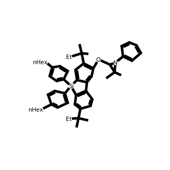 CCCCCCc1ccc([Si]2(c3ccc(CCCCCC)cc3)c3cc(C(C)(C)CC)ccc3-c3cc(OC4N(c5ccccc5)C4(C)C)c(C(C)(C)CC)cc32)cc1